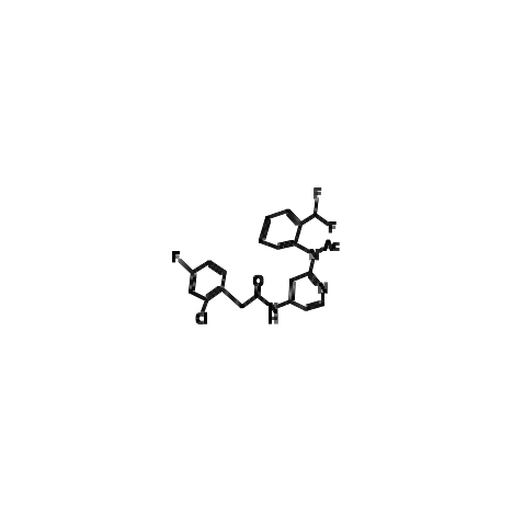 CC(=O)N(c1cc(NC(=O)Cc2ccc(F)cc2Cl)ccn1)c1ccccc1C(F)F